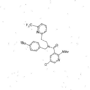 CNc1ncc(Cl)cc1C(=O)N(CCc1cccc(C(F)(F)F)n1)Cc1ccc(C(C)(C)C)cc1